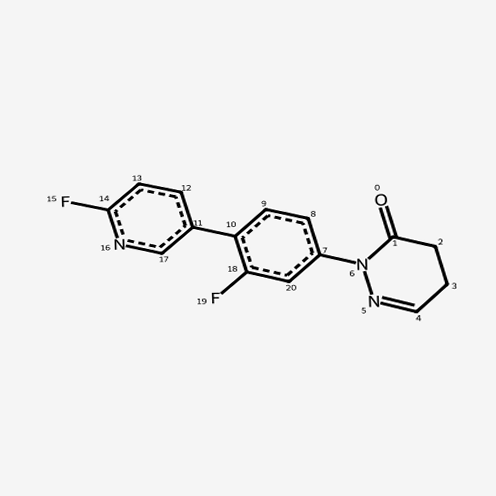 O=C1CCC=NN1c1ccc(-c2ccc(F)nc2)c(F)c1